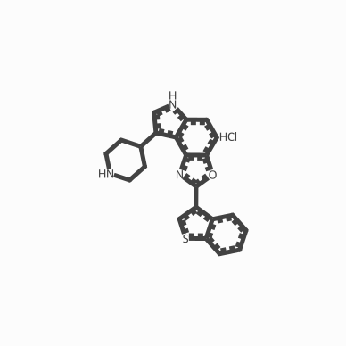 Cl.c1ccc2c(-c3nc4c(ccc5[nH]cc(C6CCNCC6)c54)o3)csc2c1